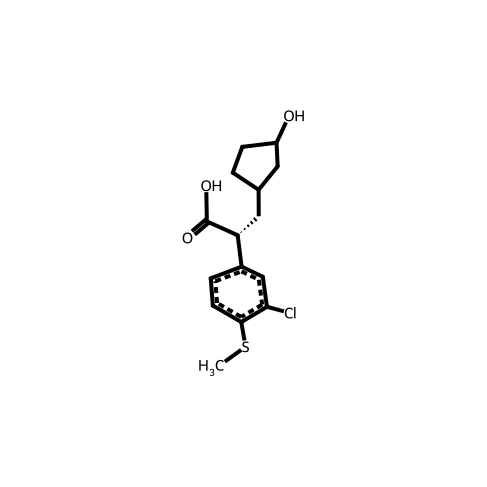 CSc1ccc([C@@H](CC2CCC(O)C2)C(=O)O)cc1Cl